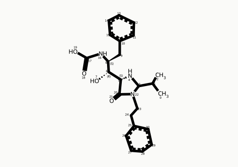 CC(C)C1N[C@@H]([C@H](O)[C@H](Cc2ccccc2)NC(=O)O)C(=O)N1CCc1ccccc1